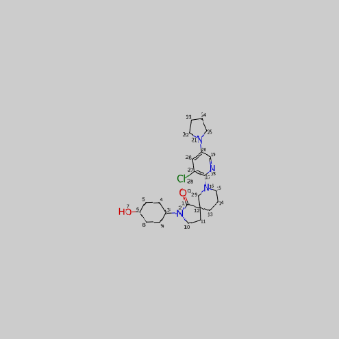 O=C1N(C2CCC(O)CC2)CCC12CCCN(c1ncc(N3CCCC3)cc1Cl)C2